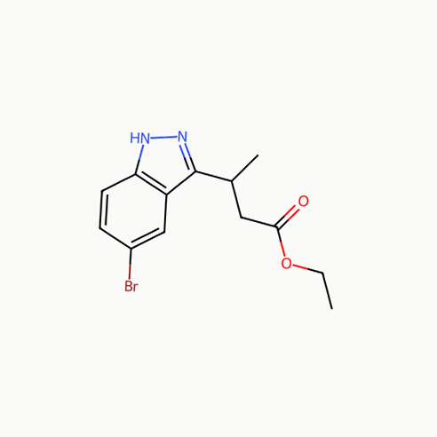 CCOC(=O)CC(C)c1n[nH]c2ccc(Br)cc12